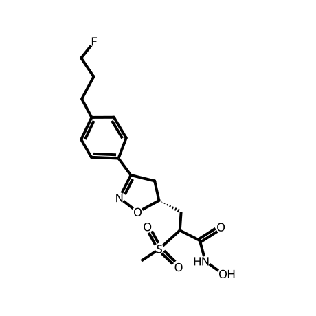 CS(=O)(=O)C(C[C@H]1CC(c2ccc(CCCF)cc2)=NO1)C(=O)NO